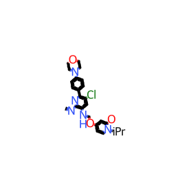 C=Nc1nc(-c2ccc(N3CCOCC3)cc2)c(Cl)cc1NCOc1ccn(C(C)C)c(=O)c1